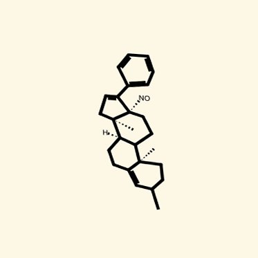 CC1C=C2CC[C@@H]3C(CC[C@]4(N=O)C(c5ccccc5)=CC[C@]34C)[C@@]2(C)CC1